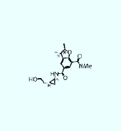 CNC(=O)c1cc(C(=O)N[C@H]2C[C@@H]2CCO)cc2c1O[C@H](C)[C@H]2C